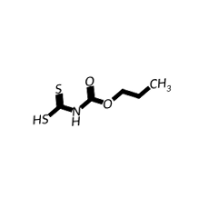 CCCOC(=O)NC(=S)S